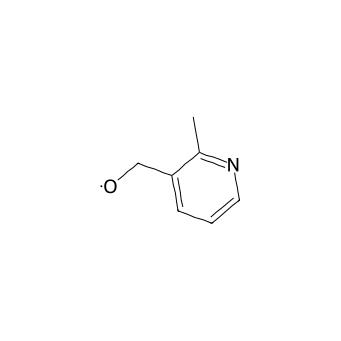 Cc1ncccc1C[O]